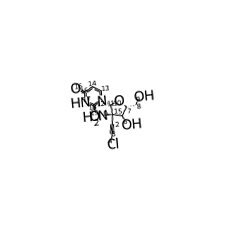 N[C@]1(C#CCl)C(O)[C@@H](CO)O[C@H]1n1ccc(=O)[nH]c1=O